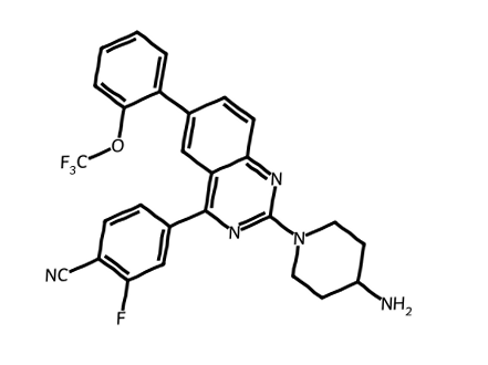 N#Cc1ccc(-c2nc(N3CCC(N)CC3)nc3ccc(-c4ccccc4OC(F)(F)F)cc23)cc1F